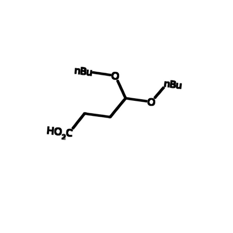 CCCCOC(CCC(=O)O)OCCCC